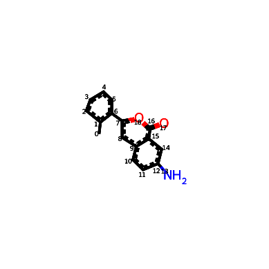 Cc1ccccc1-c1cc2ccc(N)cc2c(=O)o1